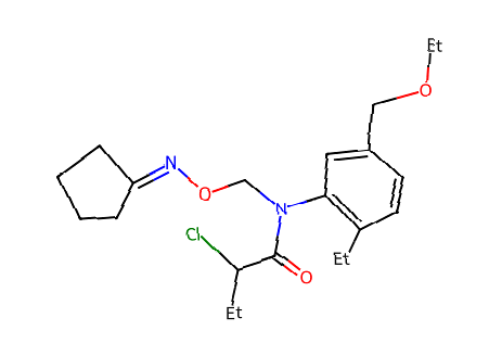 CCOCc1ccc(CC)c(N(CON=C2CCCC2)C(=O)C(Cl)CC)c1